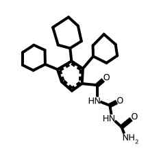 NC(=O)NC(=O)NC(=O)c1ccc(C2CCCCC2)c(C2CCCCC2)c1C1CCCCC1